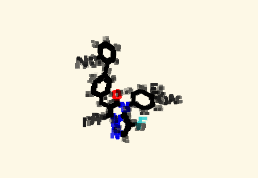 CCCc1c(Cc2ccc(-c3ccccc3C#N)cc2)c(=O)n(C2CCC(CC)(OC(C)=O)CC2)c2c(F)cnn12